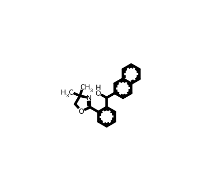 CC1(C)COC(c2ccccc2C(O)c2ccc3ccccc3c2)=N1